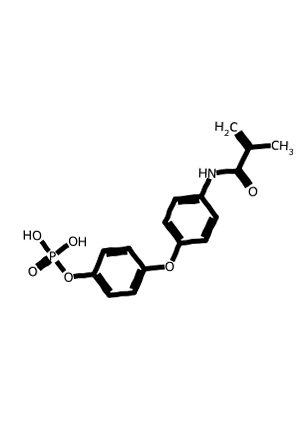 C=C(C)C(=O)Nc1ccc(Oc2ccc(OP(=O)(O)O)cc2)cc1